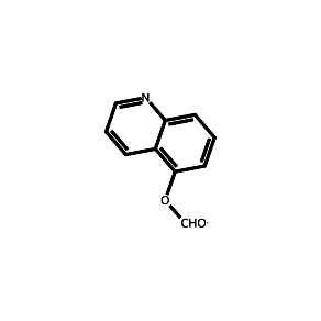 O=[C]Oc1cccc2ncccc12